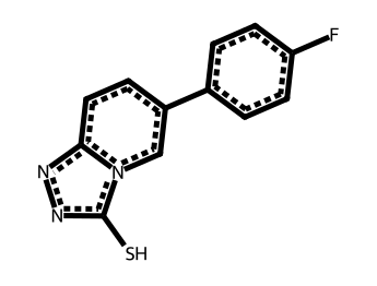 Fc1ccc(-c2ccc3nnc(S)n3c2)cc1